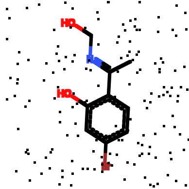 CC(=NCO)c1ccc(Br)cc1O